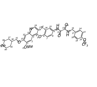 COc1cc2c(Oc3ccc(NC(=O)C(=O)NCc4ccc(OC(F)(F)F)cc4)cc3F)ccnc2cc1OCC1CCNCC1